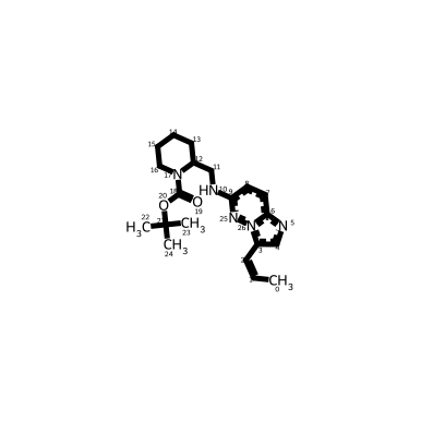 C/C=C\c1cnc2ccc(NCC3CCCCN3C(=O)OC(C)(C)C)nn12